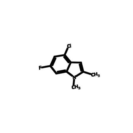 Cc1cc2c(Cl)cc(F)cc2n1C